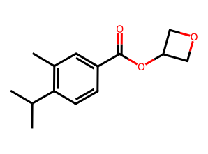 Cc1cc(C(=O)OC2COC2)ccc1C(C)C